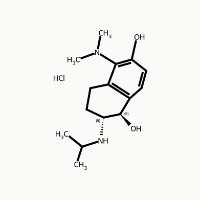 CC(C)N[C@@H]1CCc2c(ccc(O)c2N(C)C)[C@H]1O.Cl